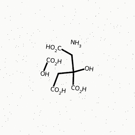 N.O=C(O)CC(O)(CC(=O)O)C(=O)O.O=C(O)O